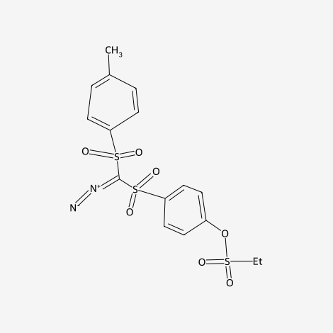 CCS(=O)(=O)Oc1ccc(S(=O)(=O)C(=[N+]=[N-])S(=O)(=O)c2ccc(C)cc2)cc1